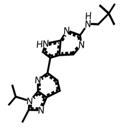 Cc1nc2ccc(-c3c[nH]c4nc(NCC(C)(C)C)ncc34)nc2n1C(C)C